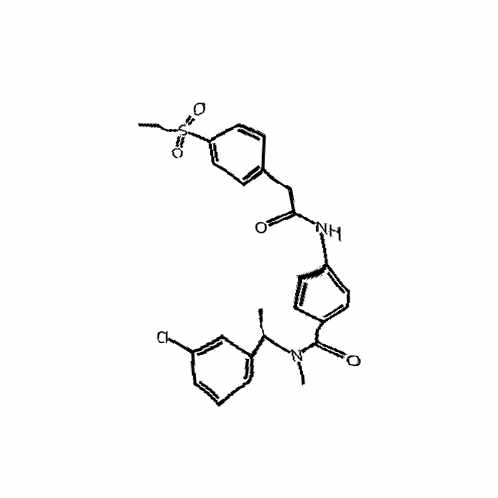 CCS(=O)(=O)c1ccc(CC(=O)Nc2ccc(C(=O)N(C)[C@H](C)c3cccc(Cl)c3)cc2)cc1